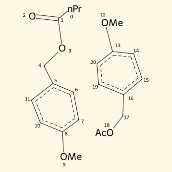 CCCC(=O)OCc1ccc(OC)cc1.COc1ccc(COC(C)=O)cc1